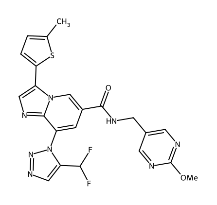 COc1ncc(CNC(=O)c2cc(-n3nncc3C(F)F)c3ncc(-c4ccc(C)s4)n3c2)cn1